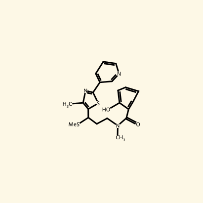 CSC(CCN(C)C(=O)c1ccccc1O)c1sc(-c2cccnc2)nc1C